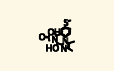 CC(=O)O.CSc1ccc2c(c1)C(C)=NC(O)c1nc(C)c(C)n1-2